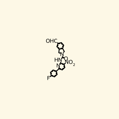 O=Cc1ccc2c(c1)CN(C(=O)Nc1nc(-c3ccc(F)cc3)ccc1[N+](=O)[O-])C2